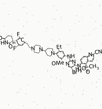 CCc1cc(Nc2ncc(Br)c(Nc3ccc4nc(C#N)ccc4c3P(C)(C)=O)n2)c(OC)cc1N1CCC(N2CCN(CCc3cc(F)c([C@H]4CCC(=O)NC4=O)c(F)c3)CC2)CC1